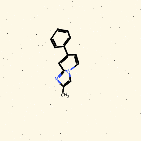 Cc1cn2ccc(-c3ccccc3)cc2n1